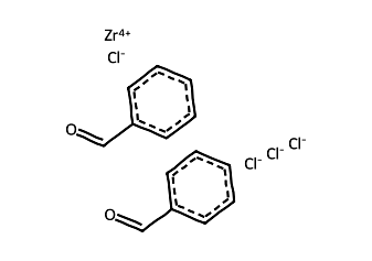 O=Cc1ccccc1.O=Cc1ccccc1.[Cl-].[Cl-].[Cl-].[Cl-].[Zr+4]